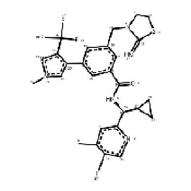 Cc1cc([C@@H](NC(=O)c2cc(CN3CCSC3=N)cc(-c3cn(C)nc3C(F)(F)F)c2)C2CC2)ncc1F